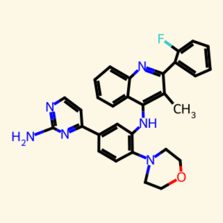 Cc1c(-c2ccccc2F)nc2ccccc2c1Nc1cc(-c2ccnc(N)n2)ccc1N1CCOCC1